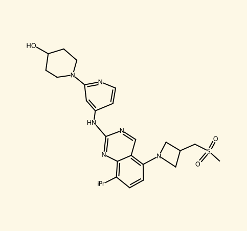 CC(C)c1ccc(N2CC(CS(C)(=O)=O)C2)c2cnc(Nc3ccnc(N4CCC(O)CC4)c3)nc12